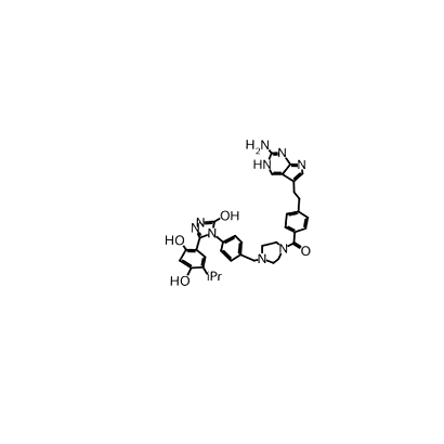 CC(C)c1cc(-c2nnc(O)n2-c2ccc(CN3CCN(C(=O)c4ccc(CCc5cnc6nc(N)[nH]cc5-6)cc4)CC3)cc2)c(O)cc1O